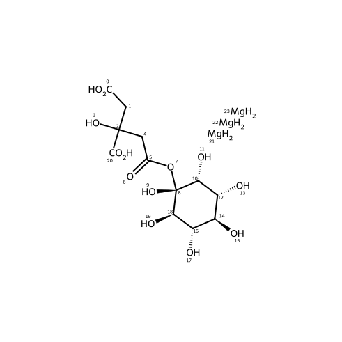 O=C(O)CC(O)(CC(=O)O[C@]1(O)[C@H](O)[C@H](O)[C@@H](O)[C@H](O)[C@H]1O)C(=O)O.[MgH2].[MgH2].[MgH2]